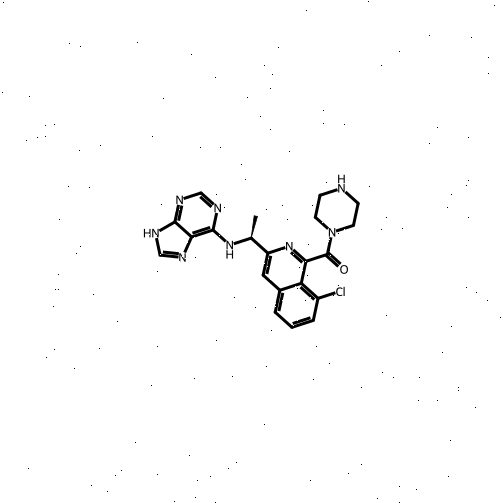 C[C@H](Nc1ncnc2[nH]cnc12)c1cc2cccc(Cl)c2c(C(=O)N2CCNCC2)n1